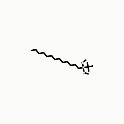 CCCCCCCCCCCCC[Si](OC)(OC)C(C)(C)C